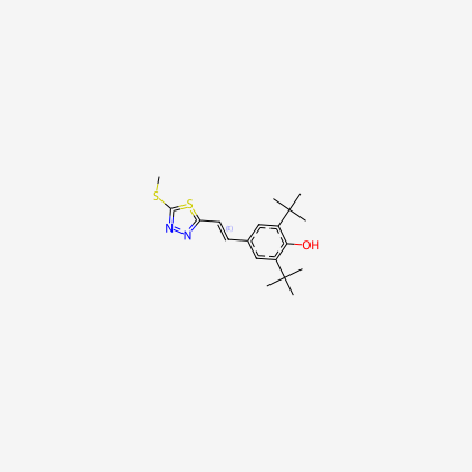 CSc1nnc(/C=C/c2cc(C(C)(C)C)c(O)c(C(C)(C)C)c2)s1